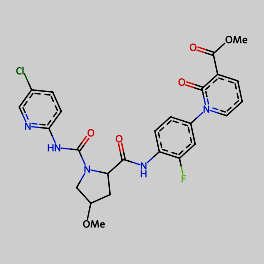 COC(=O)c1cccn(-c2ccc(NC(=O)C3CC(OC)CN3C(=O)Nc3ccc(Cl)cn3)c(F)c2)c1=O